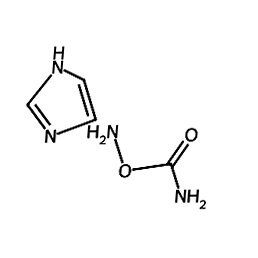 NOC(N)=O.c1c[nH]cn1